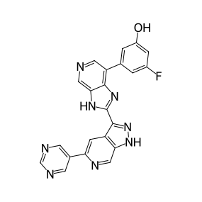 Oc1cc(F)cc(-c2cncc3[nH]c(-c4n[nH]c5cnc(-c6cncnc6)cc45)nc23)c1